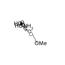 COCCCCCC1CCc2cc([C@@H]3CC[C@](N)(COP(=O)(O)O)C3)ccc2C1